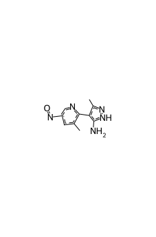 Cc1cc(N=O)cnc1-c1c(C)n[nH]c1N